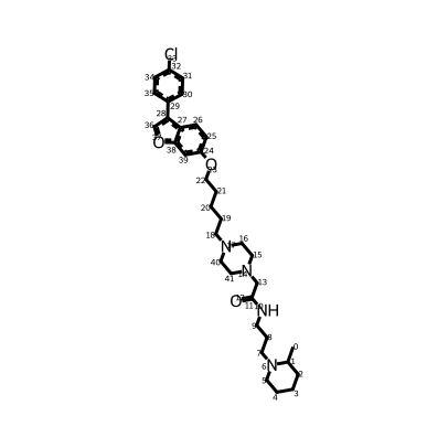 CC1CCCCN1CCCNC(=O)CN1CCN(CCCCCOc2ccc3c(-c4ccc(Cl)cc4)coc3c2)CC1